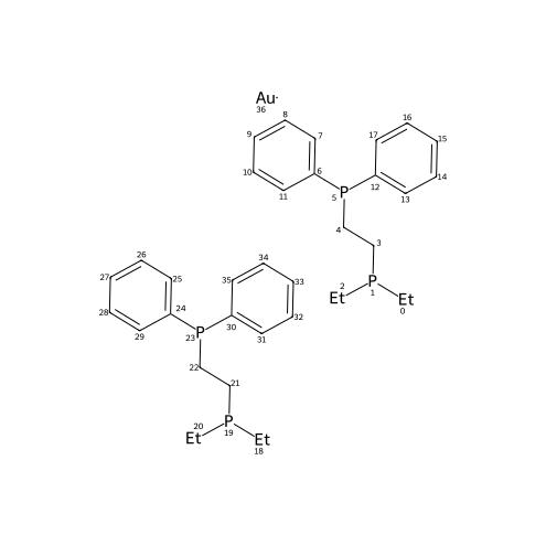 CCP(CC)CCP(c1ccccc1)c1ccccc1.CCP(CC)CCP(c1ccccc1)c1ccccc1.[Au]